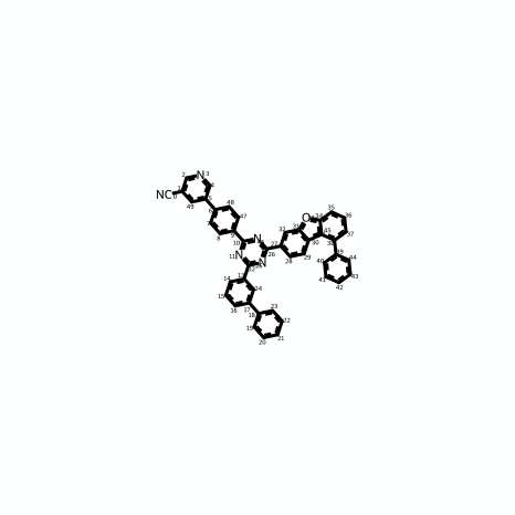 N#Cc1cncc(-c2ccc(-c3nc(-c4cccc(-c5ccccc5)c4)nc(-c4ccc5c(c4)oc4cccc(-c6ccccc6)c45)n3)cc2)c1